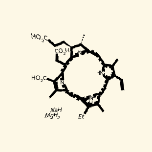 C=Cc1c(C)c2cc3nc(c(CC(=O)O)c4nc(cc5[nH]c(cc1[nH]2)c(C)c5CC)C(C)=C4C(=O)O)[C@@H](CCC(=O)O)[C@@H]3C.[MgH2].[NaH]